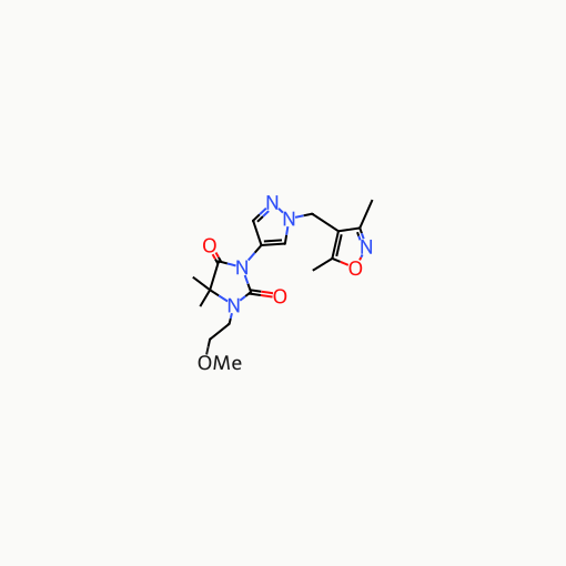 COCCN1C(=O)N(c2cnn(Cc3c(C)noc3C)c2)C(=O)C1(C)C